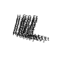 CCCCCC.CCCCCC.CCCCCC.CCCCCC.CCCCCC.CCCCCC.CCCCCC.CCCCCC.CCCCCC.CCOC(C)=O.CCOC(C)=O.CCOC(C)=O.CCOC(C)=O.CCOC(C)=O.CCOC(C)=O.CCOC(C)=O.CCOC(C)=O.CCOC(C)=O.CCOC(C)=O